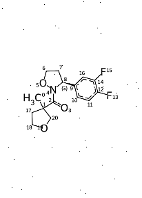 CC1(C(=O)N2OCC[C@H]2c2ccc(F)c(F)c2)CCOC1